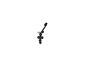 CCC(C)(CC)c1ccc(-c2c3ccccc3c(-c3ccc(Nc4cccc(CCCCCCc5ccc6c(c5)CC6)c4)cc3)c3ccccc23)cc1